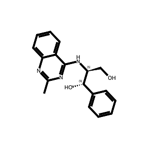 Cc1nc(N[C@@H](CO)[C@@H](O)c2ccccc2)c2ccccc2n1